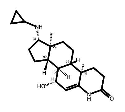 C[C@]12CC[C@H]3[C@@H]([C@@H](O)C=C4NC(=O)CC[C@@]43C)[C@@H]1CC[C@@H]2NC1CC1